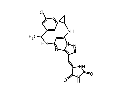 CC(Nc1cc(NC2CC2)n2ncc(C=C3NC(=O)NC3=O)c2n1)c1cccc(Cl)c1